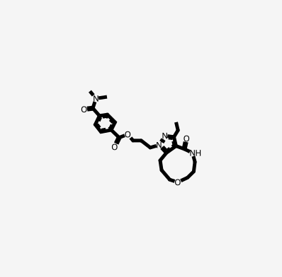 CCc1nn(CCCOC(=O)c2ccc(C(=O)N(C)C)cc2)c2c1C(=O)NCCCOCCC2